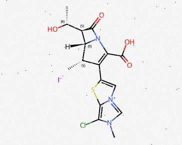 C[C@@H](O)[C@H]1C(=O)N2C(C(=O)O)=C(c3c[n+]4cn(C)c(Cl)c4s3)[C@H](C)[C@H]12.[I-]